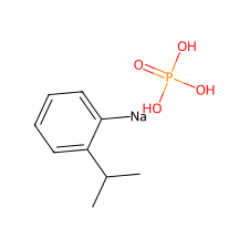 CC(C)c1cccc[c]1[Na].O=P(O)(O)O